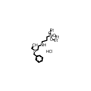 C=CN(CCNCCC[Si](OCC)(OCC)OCC)Cc1ccccc1.Cl